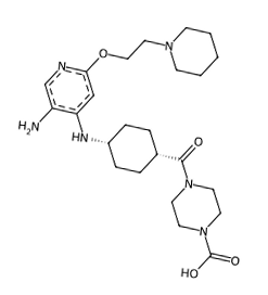 Nc1cnc(OCCN2CCCCC2)cc1N[C@H]1CC[C@@H](C(=O)N2CCN(C(=O)O)CC2)CC1